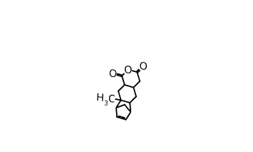 CC12CC3C(=O)OC(=O)CC3CC1C1C=CC2C1